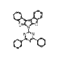 c1ccc(-c2nc(-c3ccccc3)nc(-n3c4oc5ccccc5c4c4c5ccccc5oc43)n2)cc1